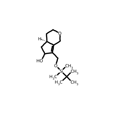 CC(C)(C)[Si](C)(C)OCC1=C2COCC[C@@H]2CC1O